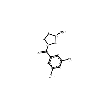 CO[C@@H]1CCN(C(=O)c2cc(N)cc(C(F)(F)F)c2)C1